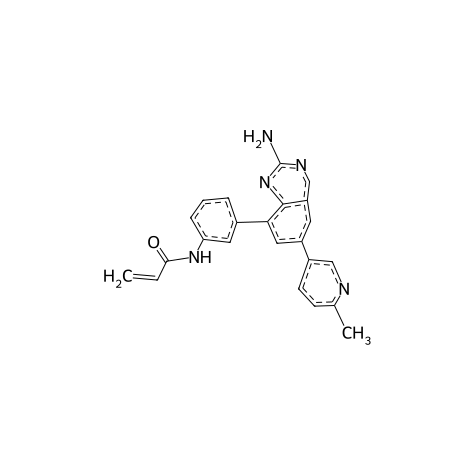 C=CC(=O)Nc1cccc(-c2cc(-c3ccc(C)nc3)cc3cnc(N)nc23)c1